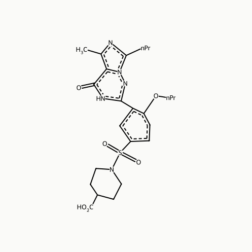 CCCOc1ccc(S(=O)(=O)N2CCC(C(=O)O)CC2)cc1-c1nn2c(CCC)nc(C)c2c(=O)[nH]1